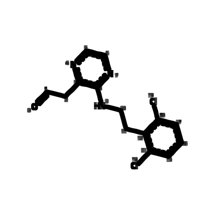 O=CCc1nccnc1NCCc1c(Cl)cccc1Cl